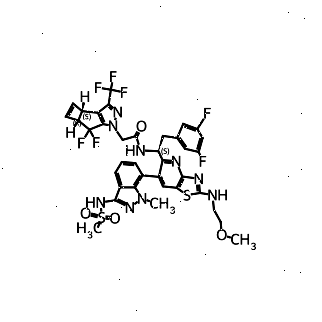 COCCNc1nc2nc([C@H](Cc3cc(F)cc(F)c3)NC(=O)Cn3nc(C(F)(F)F)c4c3C(F)(F)[C@@H]3C=C[C@H]43)c(-c3cccc4c(NS(C)(=O)=O)nn(C)c34)cc2s1